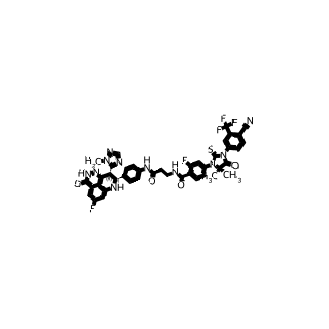 Cn1ncnc1[C@H]1c2n[nH]c(=O)c3cc(F)cc(c23)N[C@@H]1c1ccc(NC(=O)CCNC(=O)c2ccc(N3C(=S)N(c4ccc(C#N)c(C(F)(F)F)c4)C(=O)C3(C)C)cc2F)cc1